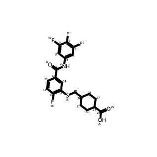 O=C(Nc1cc(F)c(F)c(F)c1)c1ccc(F)c(SCC2CCC(C(=O)O)CC2)c1